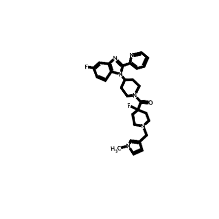 Cn1ccc(CN2CCC(F)(C(=O)N3CCC(n4c(-c5ccccn5)nc5cc(F)ccc54)CC3)CC2)c1